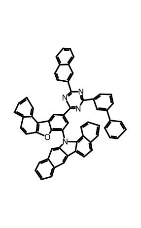 c1ccc(-c2cccc(-c3nc(-c4ccc5ccccc5c4)nc(-c4cc(-n5c6cc7ccccc7cc6c6ccc7ccccc7c65)c5oc6ccc7ccccc7c6c5c4)n3)c2)cc1